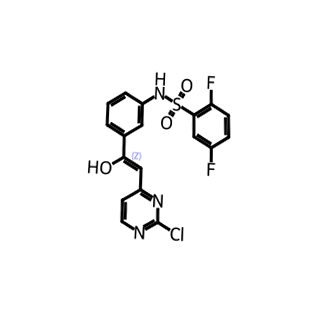 O=S(=O)(Nc1cccc(/C(O)=C/c2ccnc(Cl)n2)c1)c1cc(F)ccc1F